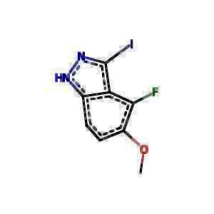 COc1ccc2[nH]nc(I)c2c1F